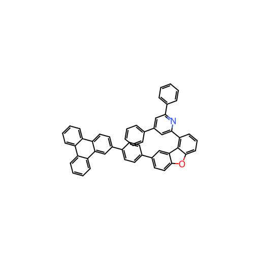 c1ccc(-c2cc(-c3ccccc3)nc(-c3cccc4oc5ccc(-c6ccc(-c7ccc8c9ccccc9c9ccccc9c8c7)cc6)cc5c34)c2)cc1